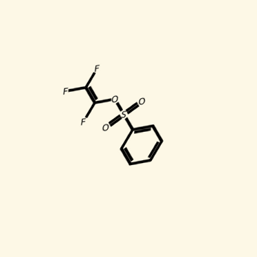 O=S(=O)(OC(F)=C(F)F)c1ccccc1